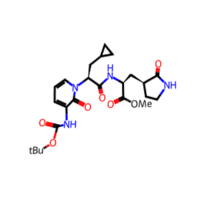 COC(=O)[C@H](C[C@@H]1CCNC1=O)NC(=O)[C@H](CC1CC1)n1cccc(NC(=O)OC(C)(C)C)c1=O